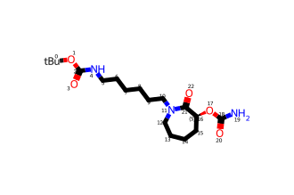 CC(C)(C)OC(=O)NCCCCCCN1CCCC[C@H](OC(N)=O)C1=O